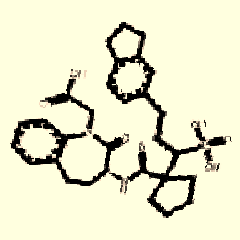 O=C(O)CN1C(=O)[C@@H](NC(=O)C2(C(CCc3ccc4c(c3)CCC4)P(=O)(O)O)CCCC2)CCc2ccccc21